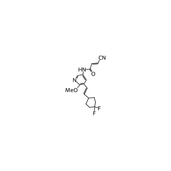 COc1ncc(NC(=O)/C=C/C#N)cc1/C=C/C1CCC(F)(F)CC1